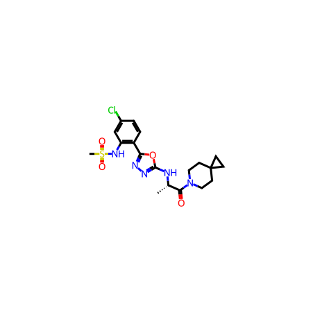 C[C@H](Nc1nnc(-c2ccc(Cl)cc2NS(C)(=O)=O)o1)C(=O)N1CCC2(CC1)CC2